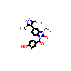 Cc1noc(C)c1-c1ccc2c(c1)n(C)c(=O)n2C(=O)c1ccc(O)c(F)c1